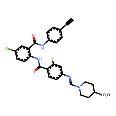 C#Cc1ccc(NC(=O)c2cc(Cl)ccc2NC(=O)c2ccc(N=CN3CCC(C(=O)OCC)CC3)cc2F)cc1